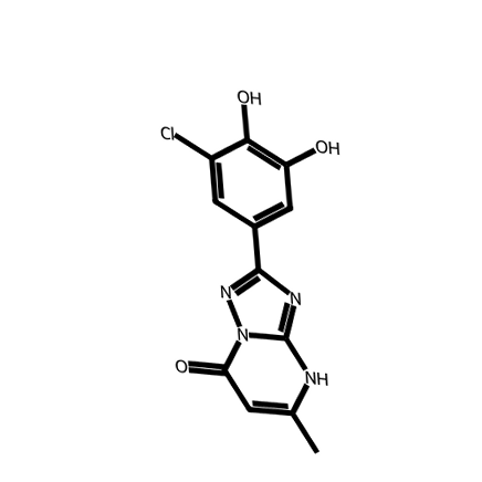 Cc1cc(=O)n2nc(-c3cc(O)c(O)c(Cl)c3)nc2[nH]1